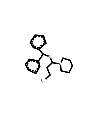 CCCC(OC(c1ccccc1)c1ccccc1)N1CCCCC1